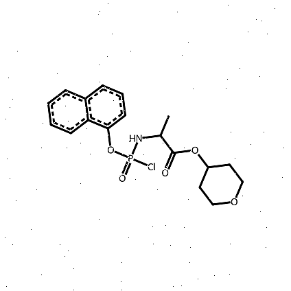 CC(NP(=O)(Cl)Oc1cccc2ccccc12)C(=O)OC1CCOCC1